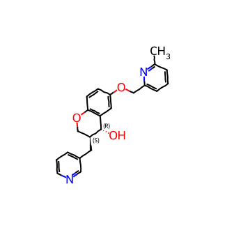 Cc1cccc(COc2ccc3c(c2)[C@H](O)[C@@H](Cc2cccnc2)CO3)n1